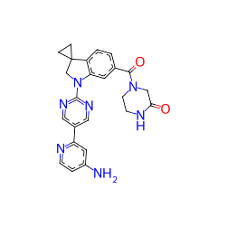 Nc1ccnc(-c2cnc(N3CC4(CC4)c4ccc(C(=O)N5CCNC(=O)C5)cc43)nc2)c1